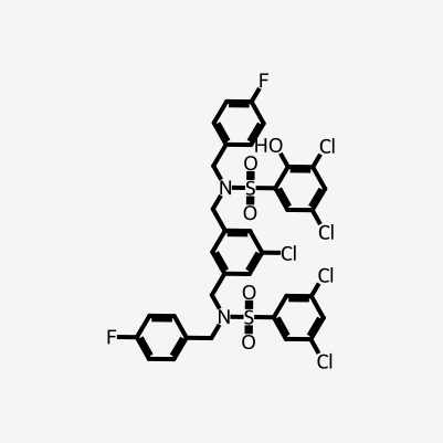 O=S(=O)(c1cc(Cl)cc(Cl)c1)N(Cc1ccc(F)cc1)Cc1cc(Cl)cc(CN(Cc2ccc(F)cc2)S(=O)(=O)c2cc(Cl)cc(Cl)c2O)c1